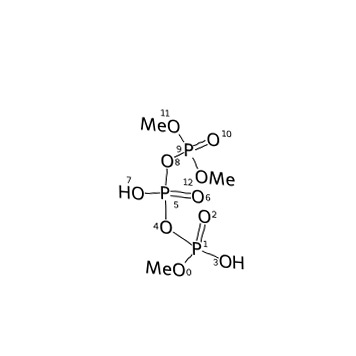 COP(=O)(O)OP(=O)(O)OP(=O)(OC)OC